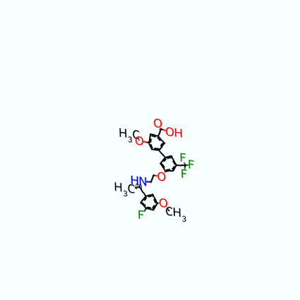 COc1cc(C(=O)O)cc(-c2cc(OCCN[C@H](C)c3cc(F)cc(OC)c3)cc(C(F)(F)F)c2)c1